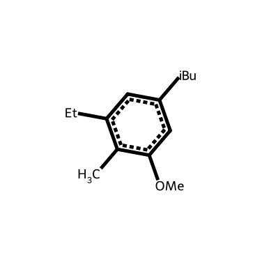 CCc1cc(C(C)CC)cc(OC)c1C